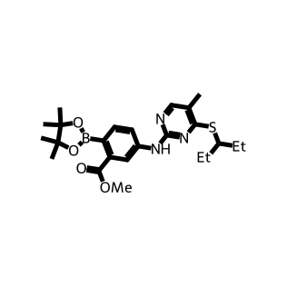 CCC(CC)Sc1nc(Nc2ccc(B3OC(C)(C)C(C)(C)O3)c(C(=O)OC)c2)ncc1C